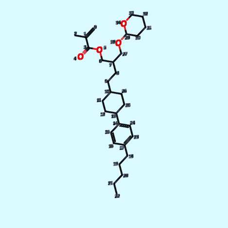 C=C(C)C(=O)OCC(CCC1CCC(c2ccc(CCCCC)cc2)CC1)COC1CCCCO1